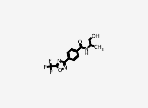 CC(CO)NC(=O)c1ccc(-c2noc(C(F)(F)F)n2)cc1